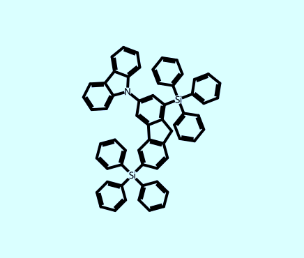 c1ccc([Si](c2ccccc2)(c2ccccc2)c2ccc3c(c2)-c2cc(-n4c5ccccc5c5ccccc54)cc([Si](c4ccccc4)(c4ccccc4)c4ccccc4)c2C3)cc1